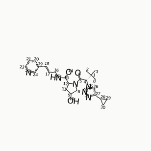 CC(C)(C)[C@@H](C(=O)N1CC(O)CC1C(=O)NC/C=C/c1cccnc1)n1cc(C2CC2)nn1